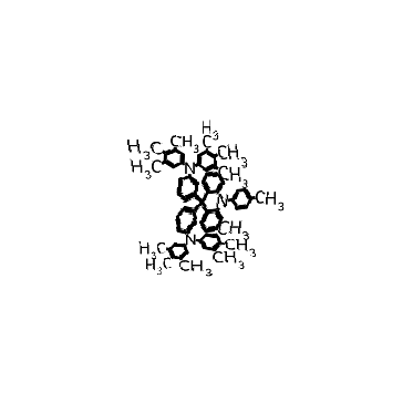 Cc1ccc(N2c3ccccc3C(c3cccc(N(c4cc(C)c(C)c(C)c4)c4cc(C)c(C)c(C)c4)c3)(c3cccc(N(c4cc(C)c(C)c(C)c4)c4cc(C)c(C)c(C)c4)c3)c3ccccc32)cc1